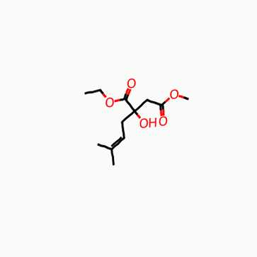 CCOC(=O)C(O)(CC=C(C)C)CC(=O)OC